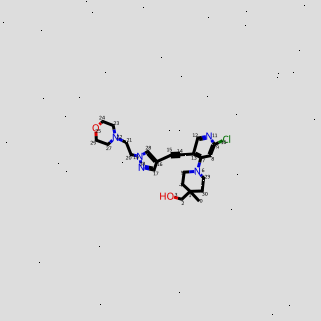 CC1(CO)CCN(c2cc(Cl)ncc2C#Cc2cnn(CCN3CCOCC3)c2)CC1